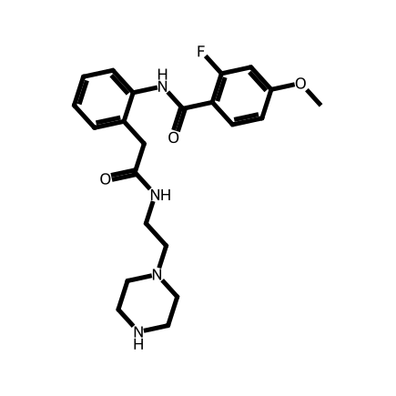 COc1ccc(C(=O)Nc2ccccc2CC(=O)NCCN2CCNCC2)c(F)c1